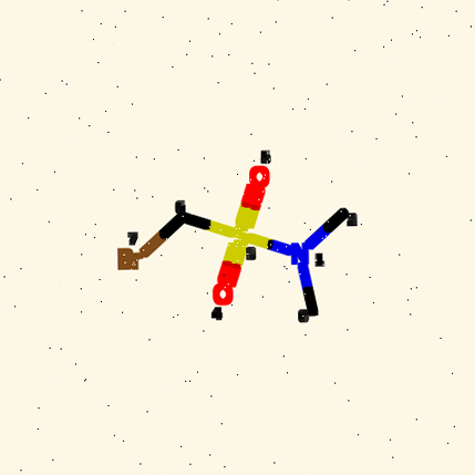 CN(C)S(=O)(=O)CBr